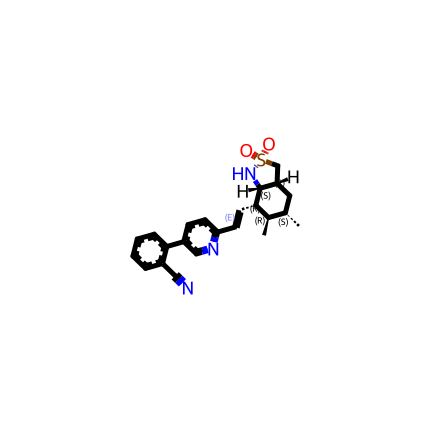 C[C@H]1[C@H](/C=C/c2ccc(-c3ccccc3C#N)cn2)[C@@H]2NS(=O)(=O)C[C@@H]2C[C@@H]1C